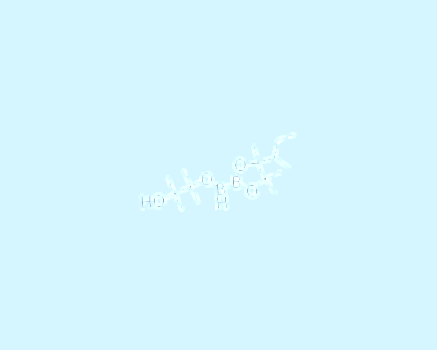 CCC(C)C1(C)OB(BOC(C)(C)C(C)(C)O)OC1(C)C